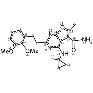 COc1cccc(CCc2nc(NC3(C)CC3)c3c(C(N)=O)c(C)oc3n2)c1OC